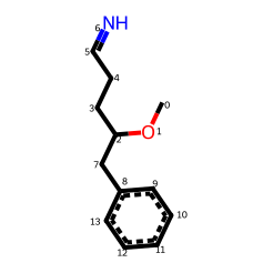 COC(CCC=N)Cc1ccccc1